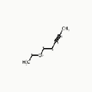 CC#CCCOCC